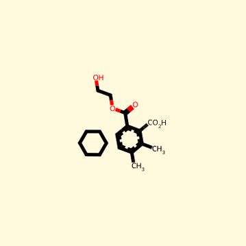 C1CCCCC1.Cc1ccc(C(=O)OCCO)c(C(=O)O)c1C